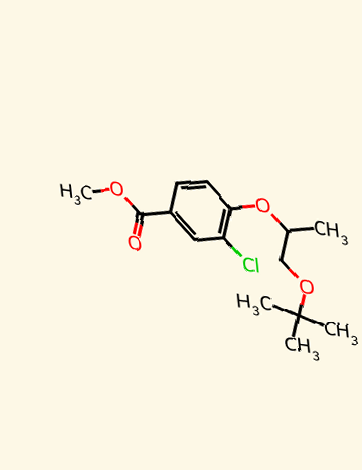 COC(=O)c1ccc(OC(C)COC(C)(C)C)c(Cl)c1